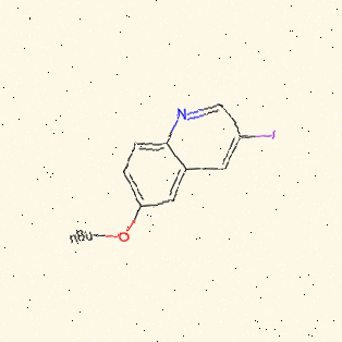 CCCCOc1ccc2ncc(I)cc2c1